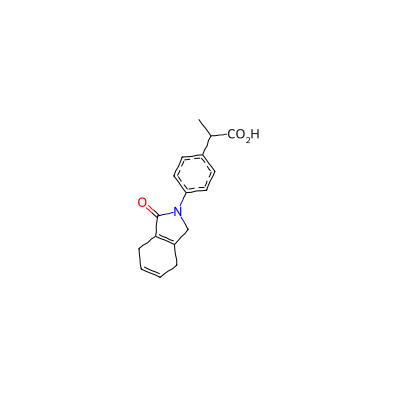 CC(C(=O)O)c1ccc(N2CC3=C(CC=CC3)C2=O)cc1